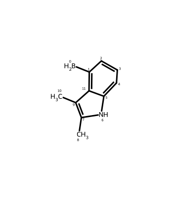 Bc1cccc2[nH]c(C)c(C)c12